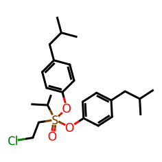 CC(C)Cc1ccc(OS(=O)(CCCl)(Oc2ccc(CC(C)C)cc2)C(C)C)cc1